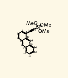 CO[Si](C#Cc1cccc2cc3ccccc3cc12)(OC)OC